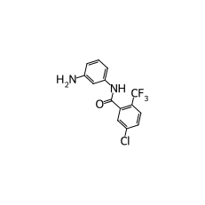 Nc1cccc(NC(=O)c2cc(Cl)ccc2C(F)(F)F)c1